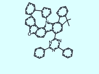 CC1(C)c2ccccc2-c2c1cc(-c1nc(-c3ccccc3)nc(-c3ccccc3)n1)c1c3ccc4oc5ccccc5c4c3n(-c3cccc(-c4ccccc4)c3)c21